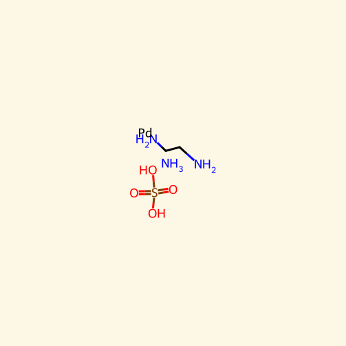 N.NCCN.O=S(=O)(O)O.[Pd]